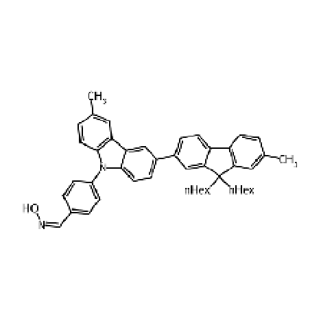 CCCCCCC1(CCCCCC)c2cc(C)ccc2-c2ccc(-c3ccc4c(c3)c3cc(C)ccc3n4-c3ccc(/C=N\O)cc3)cc21